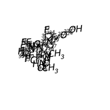 Cn1nc(NS(C)(=O)=O)c2c(Cl)ccc(-c3ccc(C#CCOCCO)nc3[C@H](Cc3cc(F)cc(F)c3)NC(=O)Cn3nc(C(F)(F)F)c4c3C(F)(F)C3C[C@H]43)c21